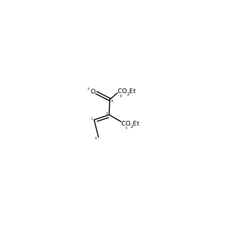 C/C=C(\C(=O)OCC)C(=O)C(=O)OCC